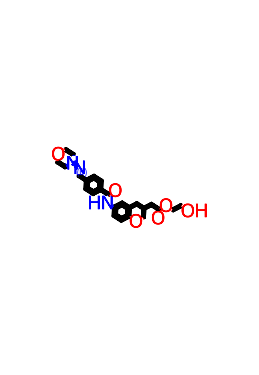 O=C(CC1COc2ccc(NC(=O)c3ccc(/C=N/N4CCOCC4)cc3)cc2C1)OCCO